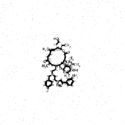 CC[C@H]1OC(=O)C[C@@H](O)[C@H](C)[C@@H](O[C@@H]2O[C@H](C)[C@@H](O)C(N(C)C)C2O)[C@@H](CCN(CCn2cc(-c3cccc(N)c3)nn2)Cc2ccc(I)cc2)C[C@@H](C)C(=O)/C=C/C(C)=C/[C@@H]1CCO